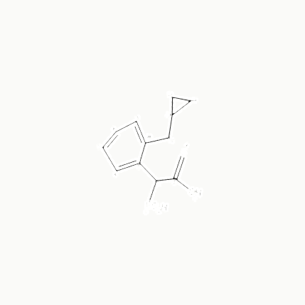 O=C(O)C(C(O)=S)c1ccccc1CC1CC1